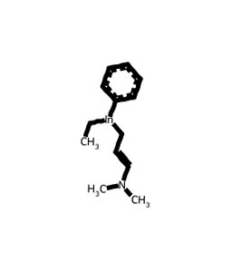 C[CH2][In]([CH2]C=CN(C)C)[c]1ccccc1